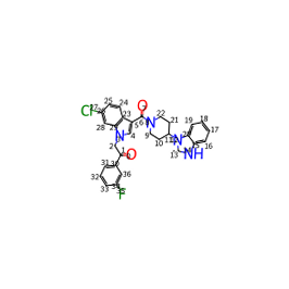 O=C(Cn1cc(C(=O)N2CCC(N3[CH]Nc4ccccc43)CC2)c2ccc(Cl)cc21)c1cccc(F)c1